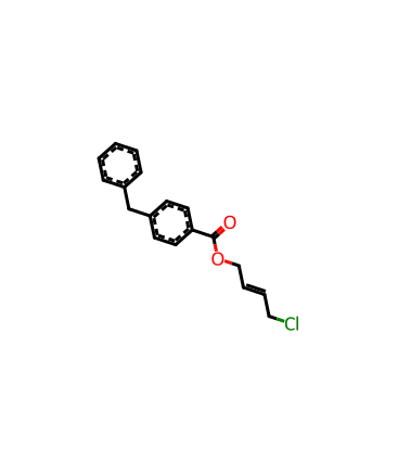 O=C(OCC=CCCl)c1ccc(Cc2ccccc2)cc1